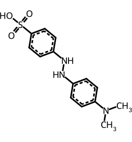 CN(C)c1ccc(NNc2ccc(S(=O)(=O)O)cc2)cc1